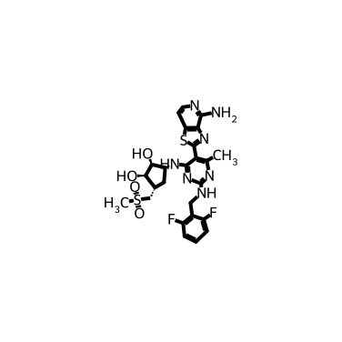 Cc1nc(NCc2c(F)cccc2F)nc(N[C@@H]2C[C@H](CS(C)(=O)=O)[C@@H](O)[C@H]2O)c1-c1nc2c(N)nccc2s1